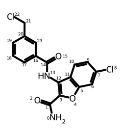 NC(=O)c1oc2cc(Cl)ccc2c1NC(=O)c1cccc(CCl)c1